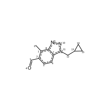 Cc1c(C=O)ccc2c1nnn2CC1CC1